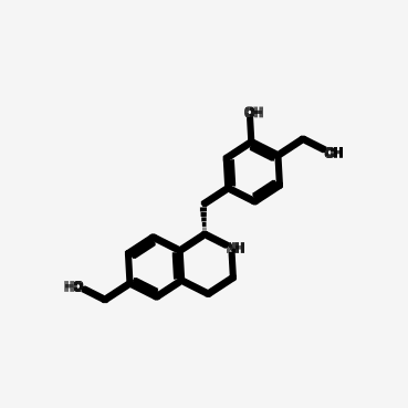 OCc1ccc2c(c1)CCN[C@H]2Cc1ccc(CO)c(O)c1